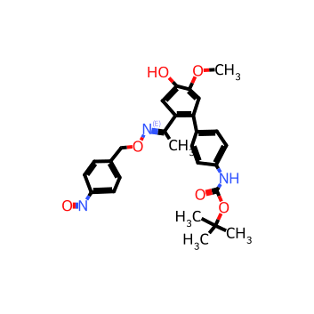 COc1cc(-c2ccc(NC(=O)OC(C)(C)C)cc2)c(/C(C)=N/OCc2ccc(N=O)cc2)cc1O